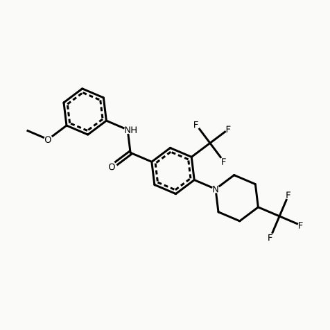 COc1cccc(NC(=O)c2ccc(N3CCC(C(F)(F)F)CC3)c(C(F)(F)F)c2)c1